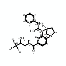 NC(CNC(=O)c1ccc2c(n1)N(C(O)Nc1ccccn1)[C@H]1CCN2C1)C(F)(F)F